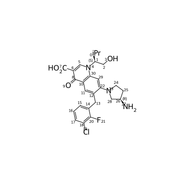 CC(C)[C@@H](CO)n1cc(C(=O)O)c(=O)c2cc(Cc3cccc(Cl)c3F)c(N3CC[C@@H](N)C3)cc21